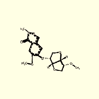 COc1cc2c(=O)n(C)ncc2cc1O[C@@H]1CO[C@H]2[C@@H]1OC[C@H]2OC